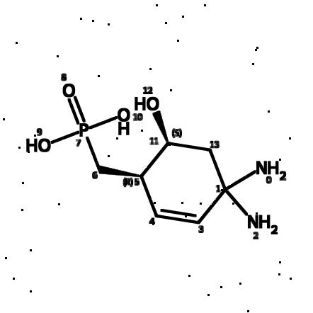 NC1(N)C=C[C@@H](CP(=O)(O)O)[C@@H](O)C1